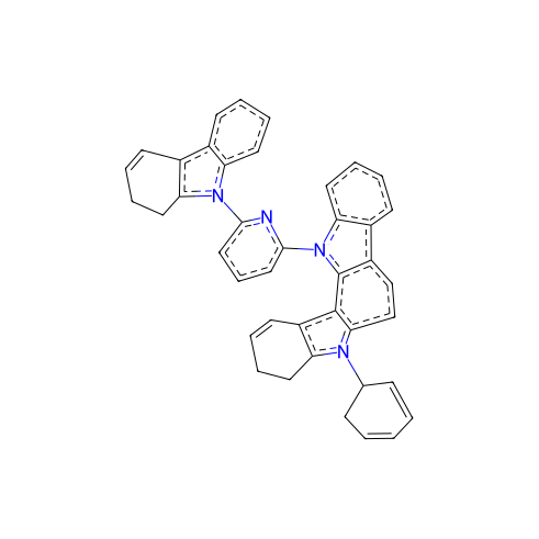 C1=CCC(n2c3c(c4c2ccc2c5ccccc5n(-c5cccc(-n6c7c(c8ccccc86)C=CCC7)n5)c24)C=CCC3)C=C1